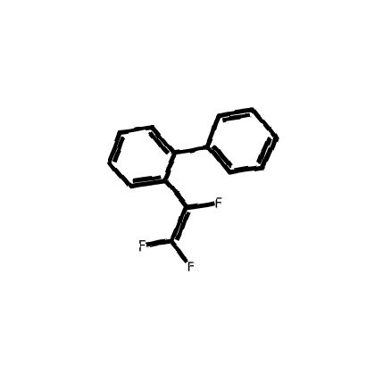 FC(F)=C(F)c1ccccc1-c1ccccc1